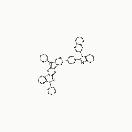 c1ccc(-c2nc3cc4c5cc(-c6ccc(-c7nc8ccccc8n7-c7ccc8ccccc8c7)cc6)ccc5n(-c5ccccc5)c4cc3c3ccccc23)cc1